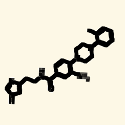 Cc1ccccc1N1CCN(c2ccc(C(=O)NCCc3c[nH]cn3)cc2N)CC1